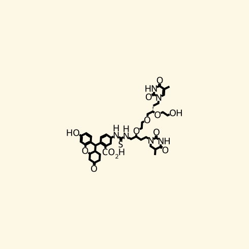 Cc1cn(CC[C@@H](COCCOC(CCN2CC(C)C(=O)NC2=O)CNC(=S)NC2C=CC(C3c4ccc(O)cc4OC4CC(=O)CCC43)=C(C(=O)O)C2)OCCO)c(=O)[nH]c1=O